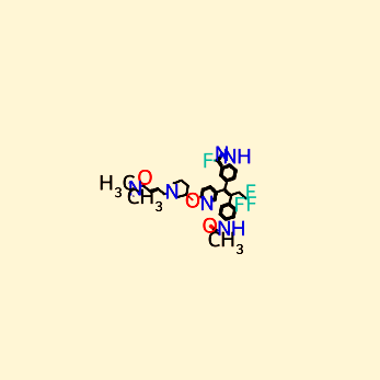 CC(=O)Nc1ccc(/C(CC(F)(F)F)=C(\c2ccc(O[C@@H]3CCCN(C/C=C/C(=O)N(C)C)C3)nc2)c2ccc3[nH]nc(F)c3c2)cc1